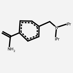 C=C(N)c1ccc(CN(C(C)C)C(C)C)cc1